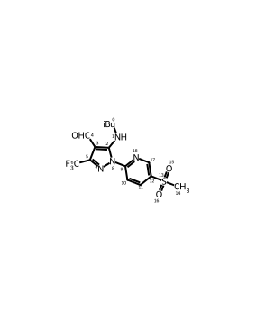 CCC(C)Nc1c(C=O)c(C(F)(F)F)nn1-c1ccc(S(C)(=O)=O)cn1